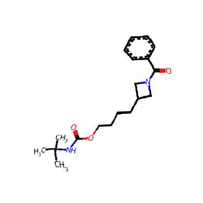 CC(C)(C)NC(=O)OCCCCC1CN(C(=O)c2ccccc2)C1